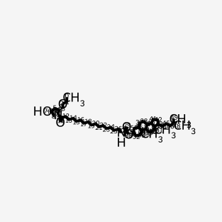 CCOC[C@@H]1C[C@@H](O)CN1C(=O)CCCCCCCCCCCCCCCNC(=O)O[C@H]1CC[C@@]2(C)C(=CCC3C4CCC(CCCC(C)C)[C@@]4(C)CCC32)C1